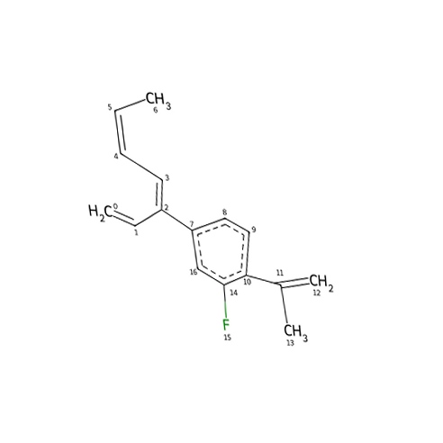 C=C/C(=C\C=C/C)c1ccc(C(=C)C)c(F)c1